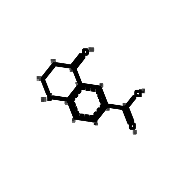 O=C(Cl)c1ccc2c(c1)C(=O)CCS2